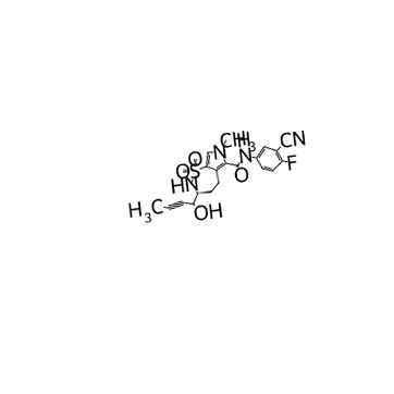 CC#C[C@H](O)[C@@H]1CCc2c(cn(C)c2C(=O)Nc2ccc(F)c(C#N)c2)S(=O)(=O)N1